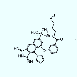 CCCCC(C)(C)c1cc(Oc2cccc(C(=O)OCCCOCC)c2)c2c(C3C=CC=C3)c3c(cc2c1)C(=N)NC3=N